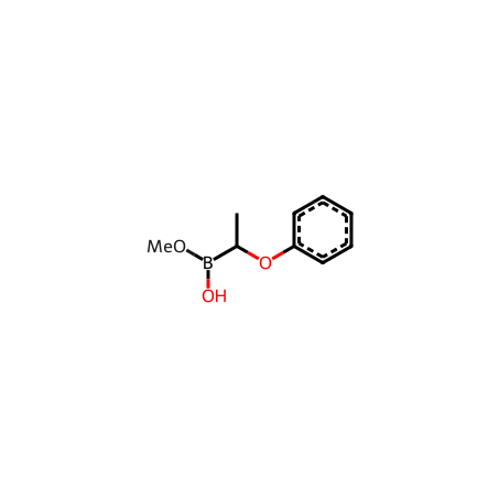 COB(O)C(C)Oc1ccccc1